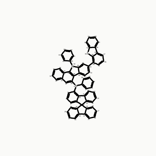 c1ccc(N(c2cccc3c2-c2ccccc2C32c3ccccc3-c3ccccc32)c2cc3ccccc3c3c2c2ccc(-c4cccc5c4sc4ccccc45)cc2n3-c2ccccc2)cc1